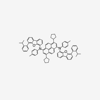 Cc1ccc(N(c2cc(C3CCCC3)c3ccc4c(N(c5ccc(C)cc5)c5cccc6c5oc5c(-c7ccccc7C(C)C)cccc56)cc(C5CCCC5)c5ccc2c3c54)c2cccc3c2oc2c(-c4ccccc4C(C)C)cccc23)cc1